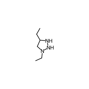 CCC1CN(CC)NN1